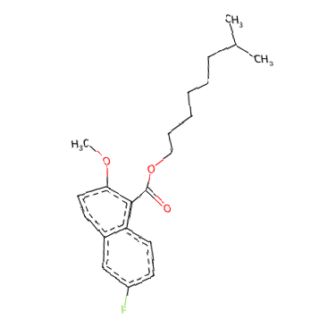 COc1ccc2cc(F)ccc2c1C(=O)OCCCCCCC(C)C